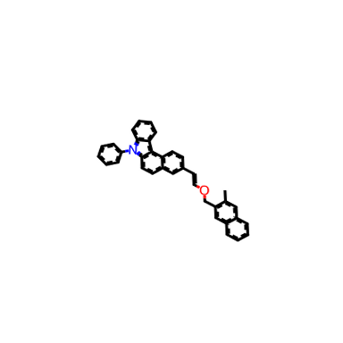 Cc1cc2ccccc2cc1COC=Cc1ccc2c(ccc3c2c2ccccc2n3-c2ccccc2)c1